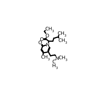 CCOC(=O)C(CCC(C)C)n1cc(CCN(C)C)c(C)cc1=O